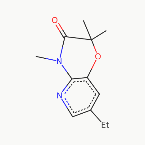 CCc1cnc2c(c1)OC(C)(C)C(=O)N2C